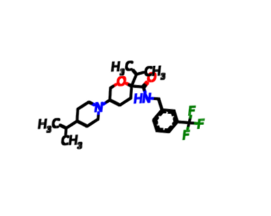 CC(C)C1CCN(C2CCC(C(=O)NCc3cccc(C(F)(F)F)c3)(C(C)C)OC2)CC1